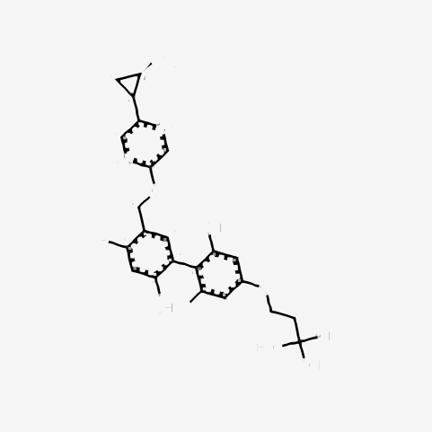 Cc1cc(OCCC(C)(C)O)cc(C)c1-c1cc(COc2cnc(C3C[C@H]3C(=O)O)cn2)c(F)cc1F